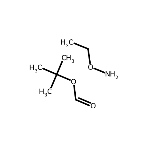 CC(C)(C)OC=O.CCON